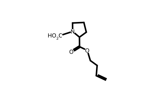 C=CCCOC(=O)C1CCCN1C(=O)O